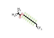 C=C(C)C(=O)OC(F)(F)C(F)(F)C(F)(F)C(F)(F)C(F)(F)C(F)(F)C(F)(F)CCC(F)(F)F